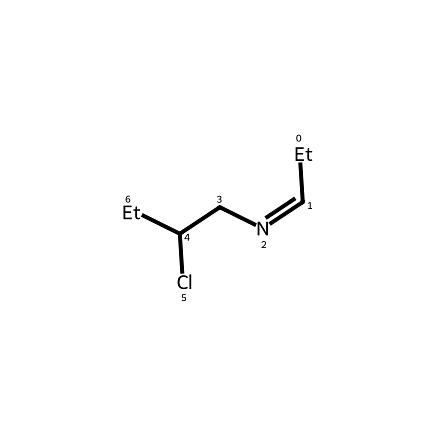 CC/C=N\CC(Cl)CC